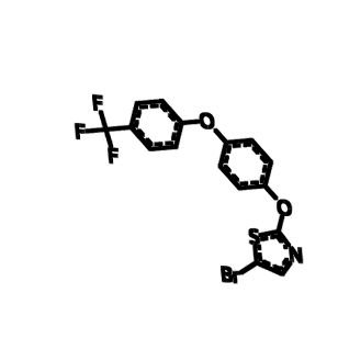 FC(F)(F)c1ccc(Oc2ccc(Oc3ncc(Br)s3)cc2)cc1